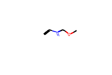 C=CNCOC